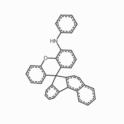 c1ccc(Nc2cccc3c2Oc2ccccc2C32c3ccccc3-c3c2ccc2ccccc32)cc1